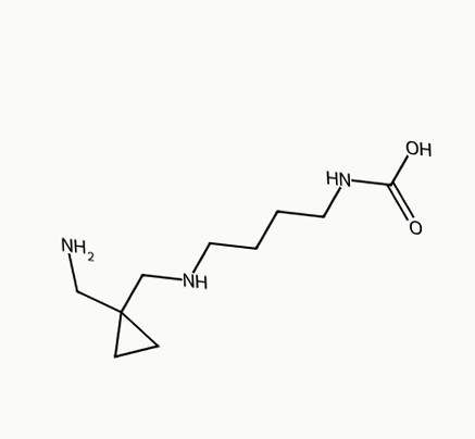 NCC1(CNCCCCNC(=O)O)CC1